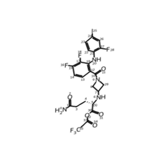 NC(=O)CC[C@H](NC1CN(C(=O)c2ccc(F)c(F)c2Nc2ccc(I)cc2F)C1)C(=O)OC(=O)C(F)(F)F